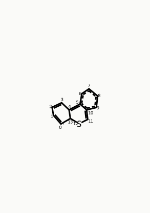 [C]1=CC=CC2=c3ccccc3=CSC12